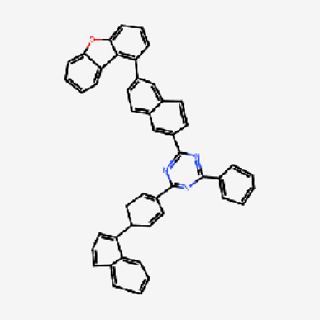 C1=CC(c2cccc3ccccc23)CC=C1c1nc(-c2ccccc2)nc(-c2ccc3cc(-c4cccc5oc6ccccc6c45)ccc3c2)n1